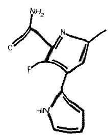 Cc1cc(-c2ccc[nH]2)c(F)c(C(N)=O)n1